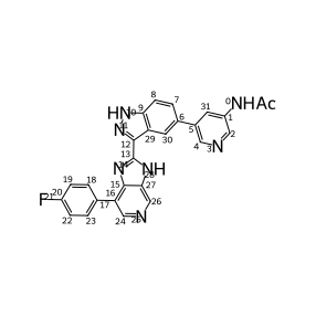 CC(=O)Nc1cncc(-c2ccc3[nH]nc(-c4nc5c(-c6ccc(F)cc6)cncc5[nH]4)c3c2)c1